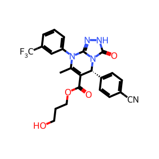 CC1=C(C(=O)OCCCO)[C@@H](c2ccc(C#N)cc2)n2c(n[nH]c2=O)N1c1cccc(C(F)(F)F)c1